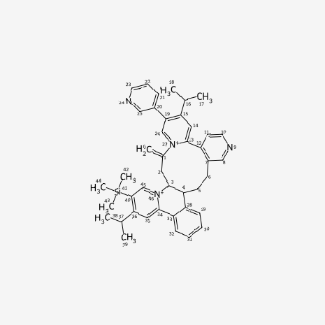 C=C1CC2C(CCc3cnccc3-c3cc(C(C)C)c(-c4cccnc4)c[n+]31)c1ccccc1-c1cc(C(C)C)c([Si](C)(C)C)c[n+]12